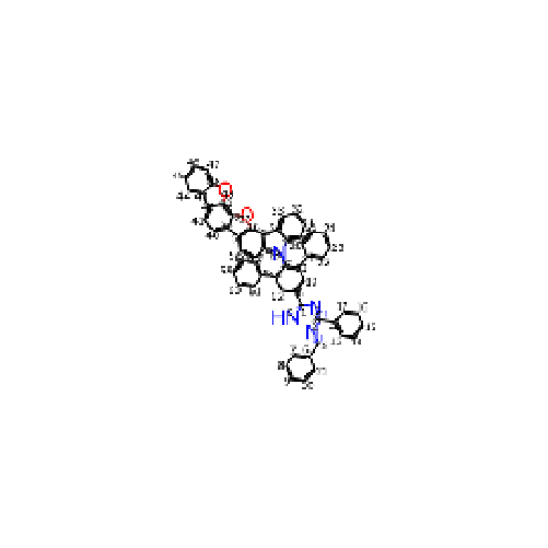 N=C(/N=C(\N=C\c1ccccc1)c1ccccc1)C1=CC(c2ccccc2)=C(n2c3ccccc3c3c4oc5c(ccc6c7ccccc7oc65)c4ccc32)C(c2ccccc2)C1